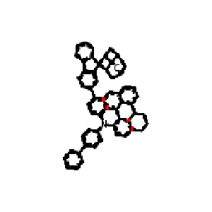 c1ccc(-c2ccc(N(c3ccc(-c4ccc5c(c4)C4(c6ccccc6-5)C5CC6CC7CC4C75C6)cc3)c3ccccc3-c3cccc4cccc(C5CCCCC5)c34)cc2)cc1